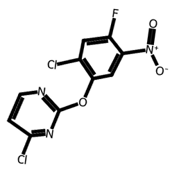 O=[N+]([O-])c1cc(Oc2nccc(Cl)n2)c(Cl)cc1F